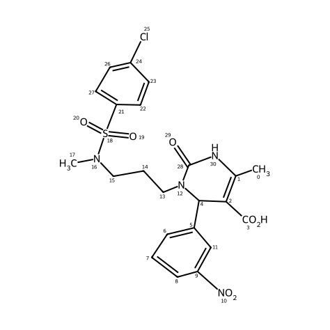 CC1=C(C(=O)O)C(c2cccc([N+](=O)[O-])c2)N(CCCN(C)S(=O)(=O)c2ccc(Cl)cc2)C(=O)N1